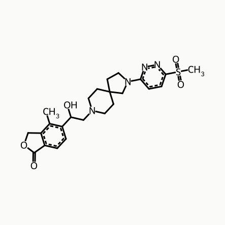 Cc1c(C(O)CN2CCC3(CC2)CCN(c2ccc(S(C)(=O)=O)nn2)C3)ccc2c1COC2=O